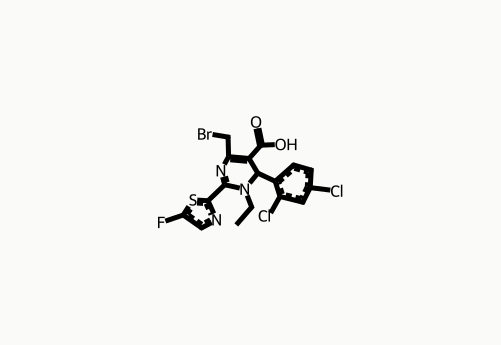 CCN1C(c2ncc(F)s2)=NC(CBr)=C(C(=O)O)C1c1ccc(Cl)cc1Cl